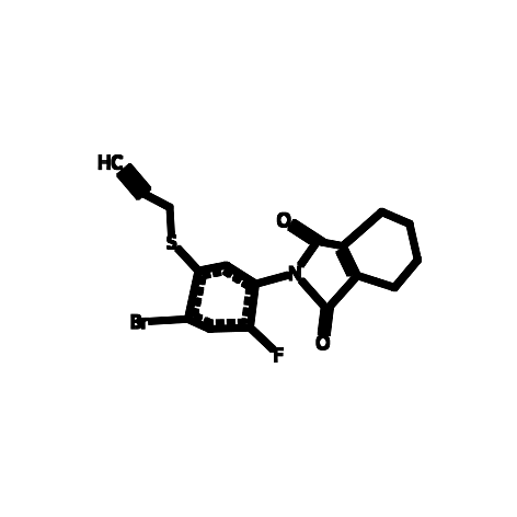 C#CCSc1cc(N2C(=O)C3=C(CCCC3)C2=O)c(F)cc1Br